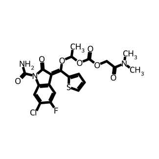 CC(OC(=O)OCC(=O)N(C)C)O/C(=C1\C(=O)N(C(N)=O)c2cc(Cl)c(F)cc21)c1cccs1